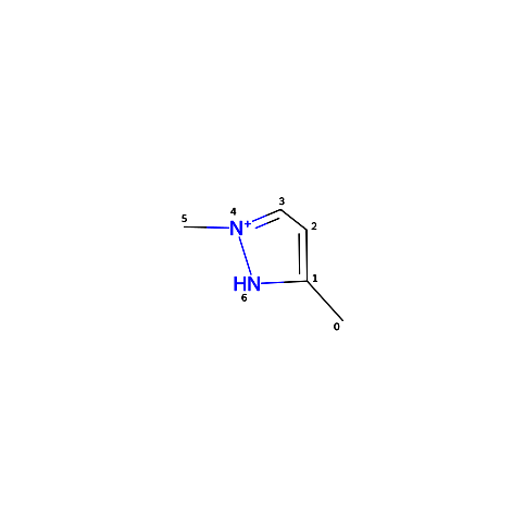 Cc1cc[n+](C)[nH]1